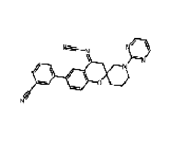 N#C/N=C1/CC2(CCCN(c3ncccn3)C2)Oc2ccc(-c3cccc(C#N)c3)cc21